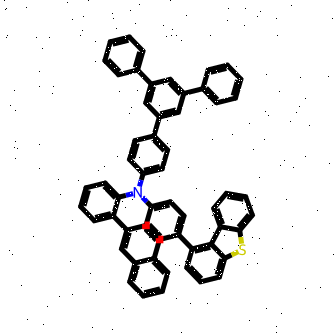 c1ccc(-c2cc(-c3ccccc3)cc(-c3ccc(N(c4ccc(-c5cccc6sc7ccccc7c56)cc4)c4ccccc4-c4ccc5ccccc5c4)cc3)c2)cc1